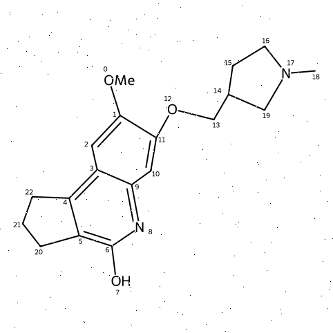 COc1cc2c3c(c(O)nc2cc1OCC1CCN(C)C1)CCC3